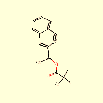 CCC(OC(=O)C(C)(C)CC)c1ccc2ccccc2c1